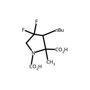 CCCCC1C(F)(F)CN(C(=O)O)C1(C)C(=O)O